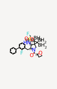 BC1(B)C(B)(B)C12CN(C(=O)[C@H]1CCO1)[C@@H](Cc1cccc(-c3ccccc3)c1F)[C@H]2NS(=O)(=O)CF